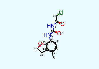 Cc1ccc(NC(=O)NC(=O)CCl)c2c1CCO2